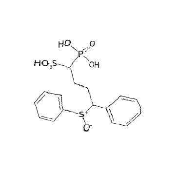 O=P(O)(O)C(CCC(c1ccccc1)[S+]([O-])c1ccccc1)S(=O)(=O)O